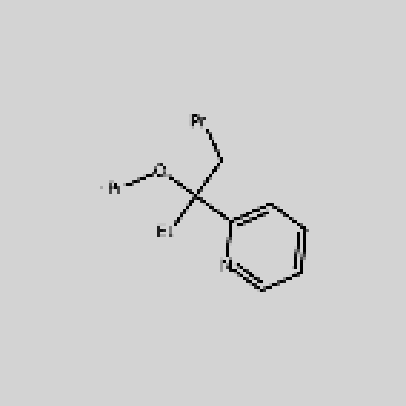 CCCOC(CC)(CC(C)C)c1ccccn1